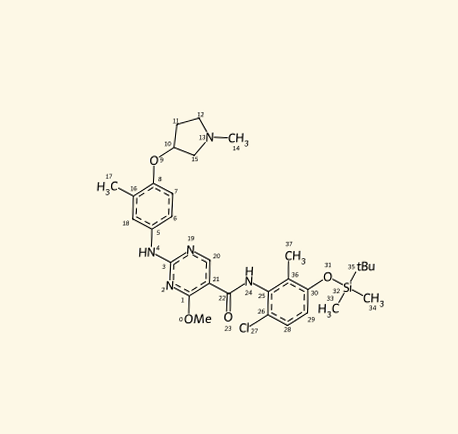 COc1nc(Nc2ccc(OC3CCN(C)C3)c(C)c2)ncc1C(=O)Nc1c(Cl)ccc(O[Si](C)(C)C(C)(C)C)c1C